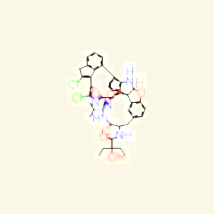 CCC(O)(CC)C(=O)NC1Cc2ccc3c(c2)C24c5cccc(c5N[C@H]2O3)-c2cccc3c2C(=C(Cl)C3)c2oc(nc2Cl)-c2nc(oc24)[C@H](C(C)C)NC1=O